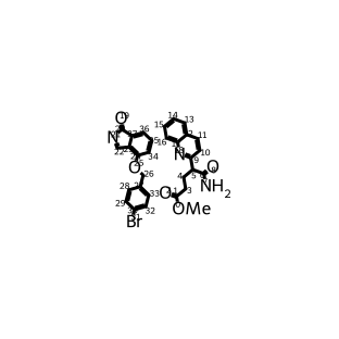 COC(=O)CCC(C(N)=O)c1ccc2ccccc2n1.O=C1N=Cc2c(OCc3ccc(Br)cc3)cccc21